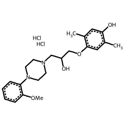 COc1ccccc1N1CCN(CC(O)COc2cc(C)c(O)cc2C)CC1.Cl.Cl